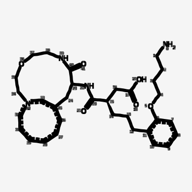 NCCCCOc1ccccc1CCC[C@H](CC(=O)O)C(=O)NC1Cc2ccccccn(c2)CCOCCNC1=O